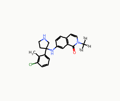 [2H]C([2H])([2H])n1ccc2ccc(NC3(c4cccc(Cl)c4C)CCNC3)cc2c1=O